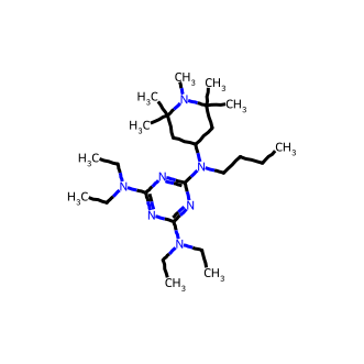 CCCCN(c1nc(N(CC)CC)nc(N(CC)CC)n1)C1CC(C)(C)N(C)C(C)(C)C1